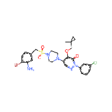 CC1(COc2c(N3CCN(S(=O)(=O)Cc4ccc(Br)c(N)c4)CC3)cnn(-c3cccc(Cl)c3)c2=O)CC1